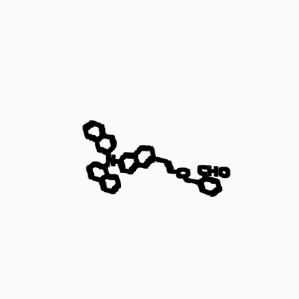 O=Cc1ccccc1COC=Cc1ccc2cc(N(c3ccc4ccccc4c3)c3cccc4ccccc34)ccc2c1